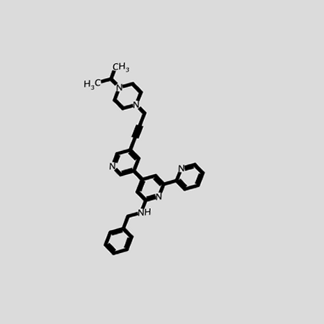 CC(C)N1CCN(CC#Cc2cncc(-c3cc(NCc4ccccc4)nc(-c4ccccn4)c3)c2)CC1